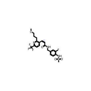 COCCCc1nc(C(F)(F)F)ccc1/C=C\C(=O)NCc1ccc(NS(C)(=O)=O)c(F)c1